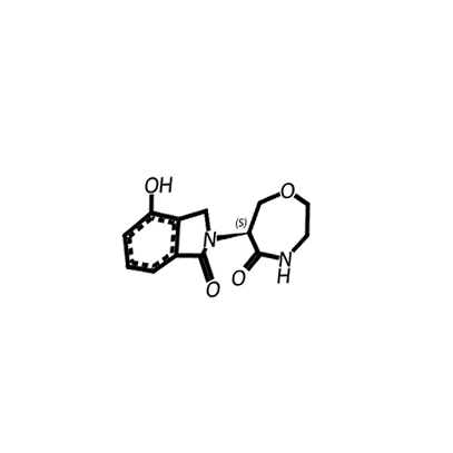 O=C1NCCOC[C@@H]1N1Cc2c(O)cccc2C1=O